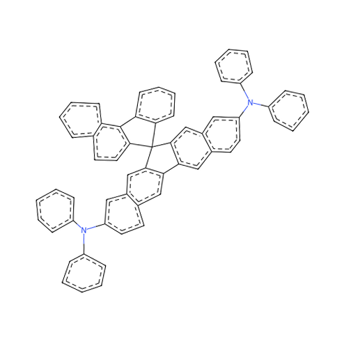 c1ccc(N(c2ccccc2)c2ccc3cc4c(cc3c2)C2(c3cc5cc(N(c6ccccc6)c6ccccc6)ccc5cc3-4)c3ccccc3-c3c2ccc2ccccc32)cc1